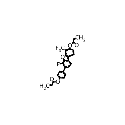 C=CC(=O)Oc1ccc(-c2ccc3c(oc4c(C(F)(F)F)c(OC(=O)C=C)ccc43)c2F)cc1